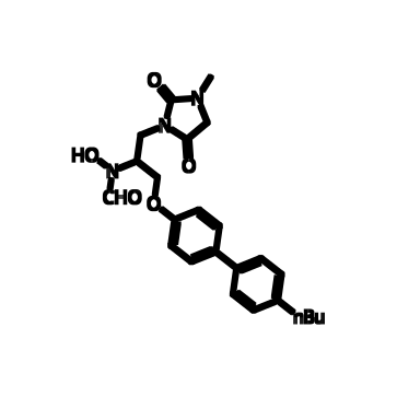 CCCCc1ccc(-c2ccc(OCC(CN3C(=O)CN(C)C3=O)N(O)C=O)cc2)cc1